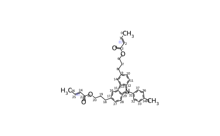 C/C=C/C(=O)OCCCc1ccc2c(c1)c1cc(CCCOC(=O)/C=C/C)ccc1n2-c1ccc(C)cc1